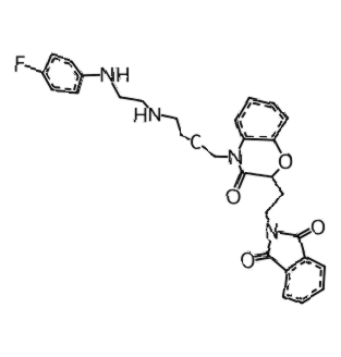 O=C1c2ccccc2C(=O)N1CCC1Oc2ccccc2N(CCCCNCCNc2ccc(F)cc2)C1=O